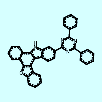 c1ccc(-c2nc(-c3ccccc3)nc(-c3ccc4c(c3)[nH]c3c5ccccc5c5oc6ccccc6c5c43)n2)cc1